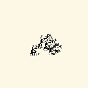 C[N+](C)(C)CCOC(=O)CC(O)(CC(=O)[O-])C(=O)[O-].C[N+](C)(C)CCOC(=O)CC(O)(CC(=O)[O-])C(=O)[O-].C[N+](C)(C)CCOC(=O)CC(O)(CC(=O)[O-])C(=O)[O-].C[N+](C)(C)CCOC(=O)CC(O)(CC(=O)[O-])C(=O)[O-].[Fe+2].[Fe+2]